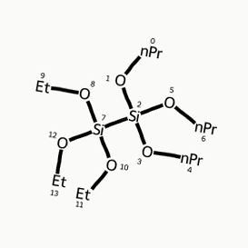 CCCO[Si](OCCC)(OCCC)[Si](OCC)(OCC)OCC